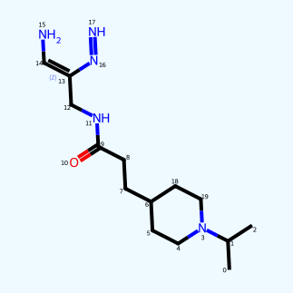 CC(C)N1CCC(CCC(=O)NC/C(=C/N)N=N)CC1